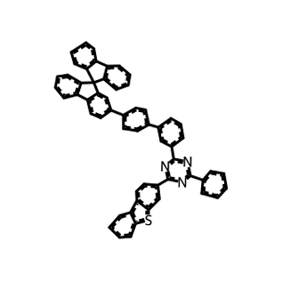 c1ccc(-c2nc(-c3cccc(-c4ccc(-c5ccc6c(c5)C5(c7ccccc7-c7ccccc75)c5ccccc5-6)cc4)c3)nc(-c3ccc4c(c3)sc3ccccc34)n2)cc1